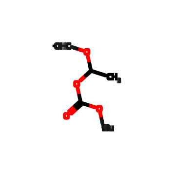 CC(O[C]=O)OC(=O)OC(C)(C)C